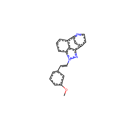 COc1cccc(C=Cn2nc3c4ccnc(c4)c4cccc2c43)c1